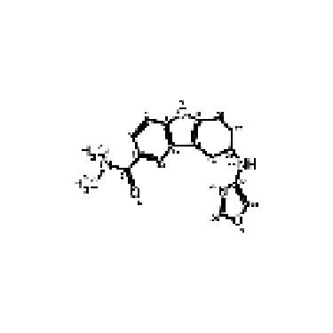 CN(C)C(=O)c1ccc2oc3c(c2c1)CC(Nc1cocn1)CC3